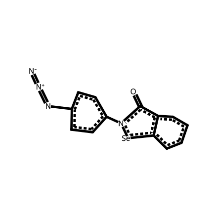 [N-]=[N+]=Nc1ccc(-n2[se]c3ccccc3c2=O)cc1